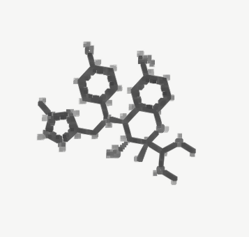 COC(OC)[C@@]1(C)Oc2ccc(N)cc2[C@H](N(Cc2nnn(C)n2)c2ccc(Cl)cc2)[C@H]1O